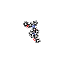 N#Cc1cccc(-c2cccc(-n3c4ccccc4c4cc5c(cc43)oc3ccccc35)c2)c1-n1c2ccccc2c2cc3c(cc21)oc1ccccc13